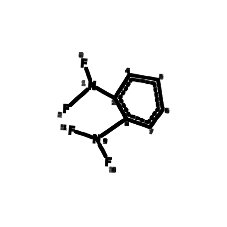 FN(F)c1ccccc1N(F)F